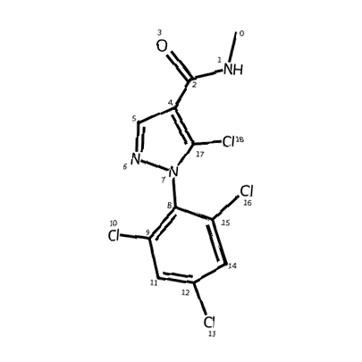 CNC(=O)c1cnn(-c2c(Cl)cc(Cl)cc2Cl)c1Cl